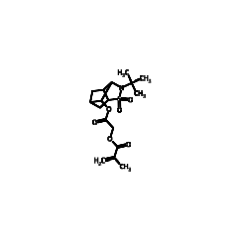 C=C(C)C(=O)OCC(=O)OC1C2CC3C1N(C(C)(C)C)S(=O)(=O)C3C2